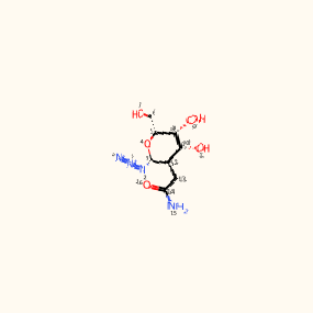 [N-]=[N+]=N[C@@H]1O[C@H](CO)[C@H](O)[C@H](O)[C@H]1CC(N)=O